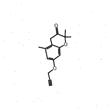 C#CCOc1cc(C)c2c(c1)OC(C)(C)C(=O)C2